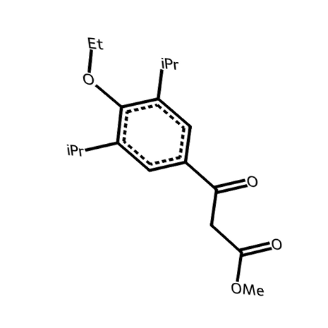 CCOc1c(C(C)C)cc(C(=O)CC(=O)OC)cc1C(C)C